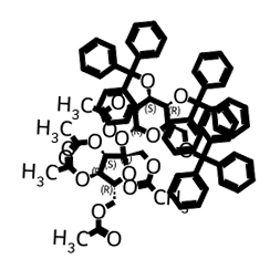 CC(=O)OC[C@H]1O[C@@](COC(C)=O)(O[C@H]2O[C@H](COC(c3ccccc3)(c3ccccc3)c3ccccc3)[C@@H](OC(c3ccccc3)(c3ccccc3)c3ccccc3)[C@H](OC(c3ccccc3)(c3ccccc3)c3ccccc3)[C@H]2OC(C)=O)[C@@H](OC(C)=O)[C@@H]1OC(C)=O